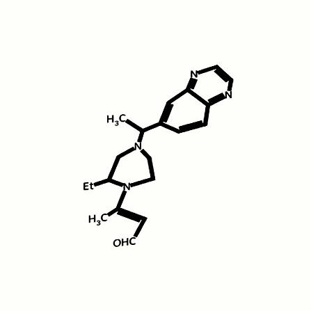 CCC1CN(C(C)c2ccc3nccnc3c2)CCN1/C(C)=C/C=O